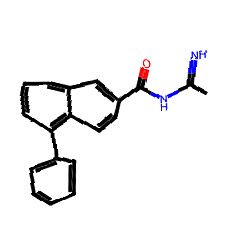 CC(=N)NC(=O)c1ccc2c(-c3ccccc3)cccc2c1